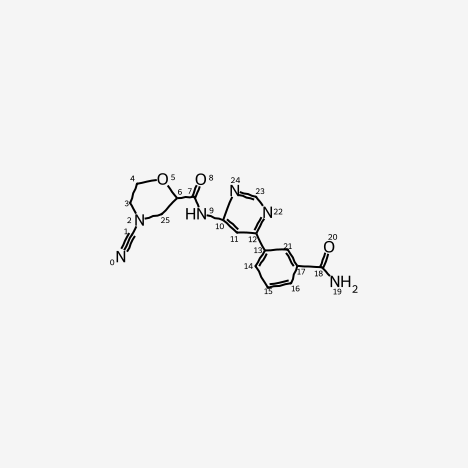 N#CN1CCOC(C(=O)Nc2cc(-c3cccc(C(N)=O)c3)ncn2)C1